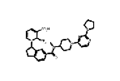 CN(C(=O)c1ccc2c(c1)C(N1C=CC=C(C(=O)O)C1C(F)(F)F)CC2)C1CCN(c2ccnc(N3CCCC3)n2)CC1